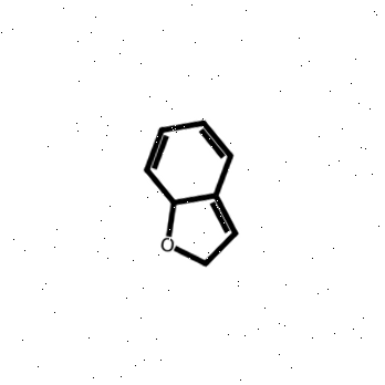 C1=CC2=CCOC2C=C1